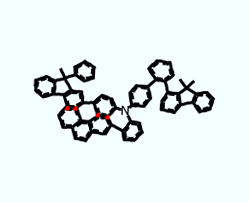 CC1(C)c2ccccc2-c2cccc(-c3ccccc3-c3ccc(N(c4ccc(-c5ccc6c(c5)C(C)(c5ccccc5)c5ccccc5-6)cc4)c4ccccc4-c4ccc5c(ccc6ccccc65)c4)cc3)c21